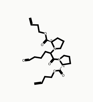 C=CCCOC(=O)[C@H]1CCCN1C(=O)C(CCCC=O)N1CCC[C@@H]1C(=O)OCCC=C